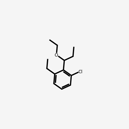 CCOC(CC)c1c(Cl)cccc1CC